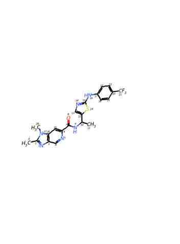 Cc1nc2cnc(C(=O)NC(C)c3cnc(Nc4ccc(C(F)(F)F)cc4)s3)cc2n1C